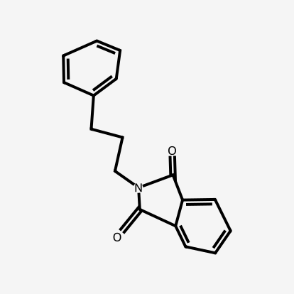 O=C1c2ccccc2C(=O)N1CCCc1ccccc1